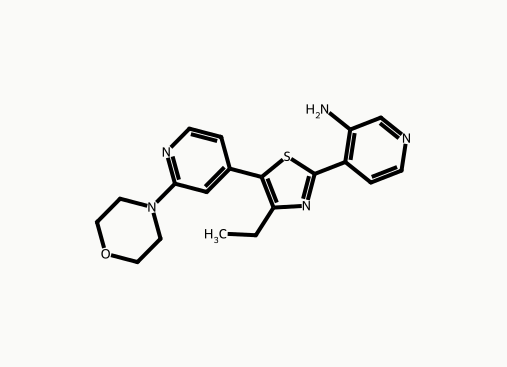 CCc1nc(-c2ccncc2N)sc1-c1ccnc(N2CCOCC2)c1